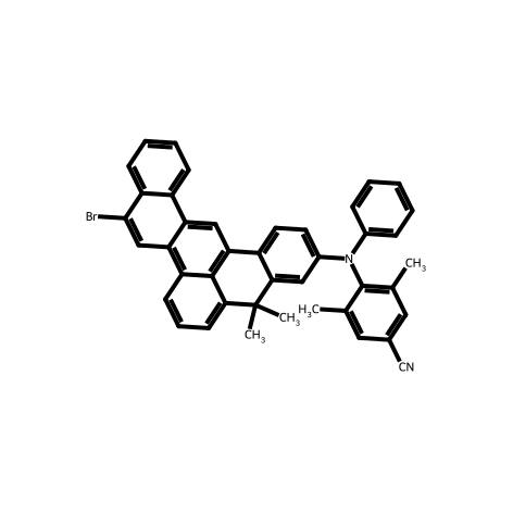 Cc1cc(C#N)cc(C)c1N(c1ccccc1)c1ccc2c(c1)C(C)(C)c1cccc3c1c-2cc1c2ccccc2c(Br)cc31